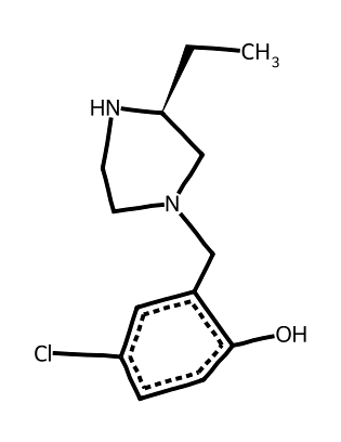 CC[C@H]1CN(Cc2cc(Cl)ccc2O)CCN1